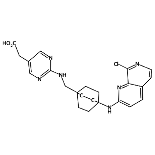 O=C(O)Cc1cnc(NCC23CCC(Nc4ccc5ccnc(Cl)c5n4)(CC2)CC3)nc1